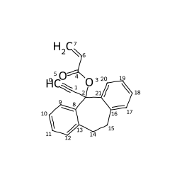 C#CC1(OC(=O)C=C)c2ccccc2CCc2ccccc21